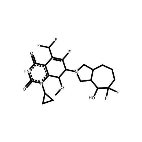 COC1c2c(c(=O)[nH]c(=O)n2C2CC2)C(C(F)F)=C(F)C1N1CC2CCCC(F)(F)C(O)C2C1